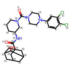 O=C(N1CCN(c2ccc(Cl)c(Cl)c2)CC1)N1CCC[C@H](NC(=O)C23CC4CC(C2)C(O)C(C4)C3)C1